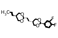 CC=C[C@H]1CO[C@H](CC[C@H]2CO[C@H](c3ccc(F)c(F)c3)OC2)OC1